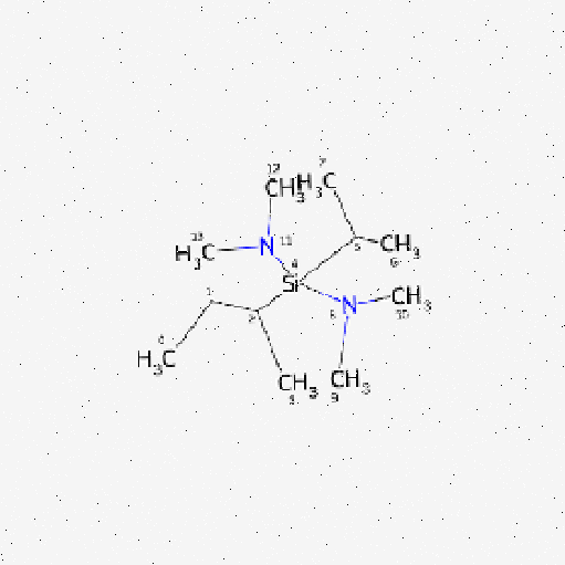 CCC(C)[Si](C(C)C)(N(C)C)N(C)C